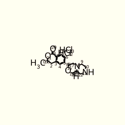 C[C@H]1Cc2cc([C@@H]3CN4CCNC[C@H]4CO3)ccc2C(=O)O1.Cl.Cl